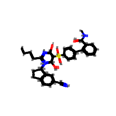 CCCCc1nc(=O)c(S(=O)(=O)c2ccc(-c3ccccc3C(=O)NC)cc2)c(O)n1[C@@H]1CCc2ccc(C#N)cc21